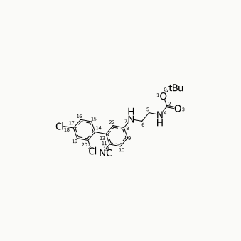 CC(C)(C)OC(=O)NCCNc1ccc(C#N)c(-c2ccc(Cl)cc2Cl)c1